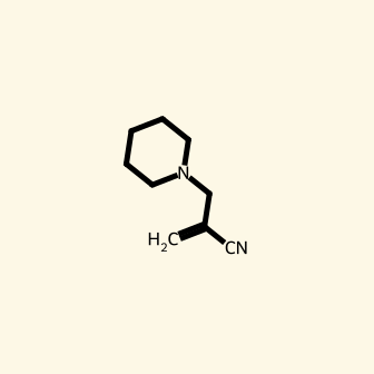 C=C(C#N)CN1CCCCC1